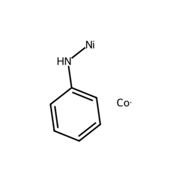 [Co].[Ni][NH]c1ccccc1